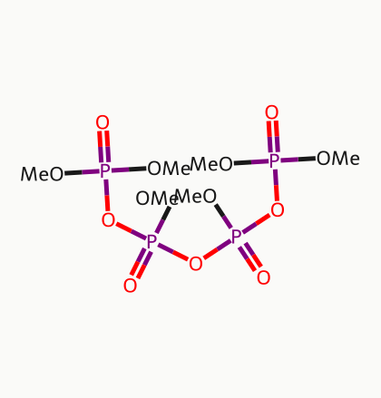 COP(=O)(OC)OP(=O)(OC)OP(=O)(OC)OP(=O)(OC)OC